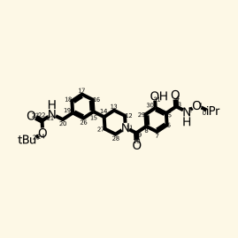 CC(C)ONC(=O)c1ccc(C(=O)N2CCC(c3cccc(CNC(=O)OC(C)(C)C)c3)CC2)cc1O